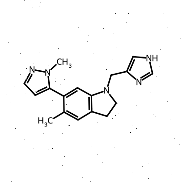 Cc1cc2c(cc1-c1ccnn1C)N(Cc1c[nH]cn1)CC2